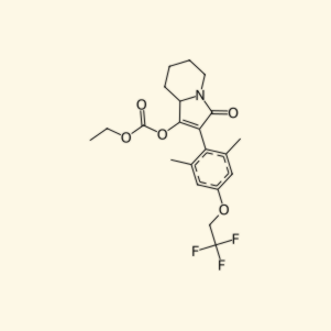 CCOC(=O)OC1=C(c2c(C)cc(OCC(F)(F)F)cc2C)C(=O)N2CCCCC12